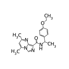 CCOc1ccc(C(C)NC(=O)c2ncn3c(C)cc(C)nc23)cc1